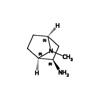 CN1[C@H]2CC[C@@H]1[C@H](N)C2